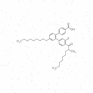 CCCCCCCCCc1ccc(-c2ccc(C(=O)O)cc2)c(-c2ccc(C(=O)C(C)CCCCCCC)c(F)c2)c1